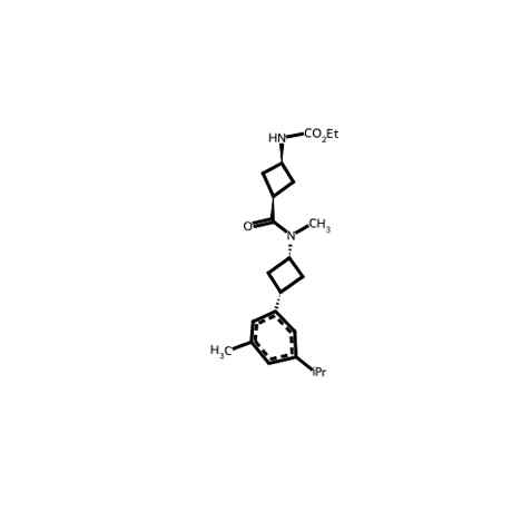 CCOC(=O)N[C@H]1C[C@@H](C(=O)N(C)[C@H]2C[C@@H](c3cc(C)cc(C(C)C)c3)C2)C1